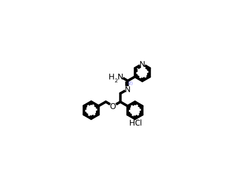 Cl.N/C(=N\CC(OCc1ccccc1)c1ccccc1)c1cccnc1